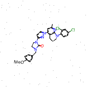 COc1ccc(CN2CCN(c3ccn(-c4cc(C)nc5c4CCCN5c4ccc(Cl)cc4Cl)n3)C2=O)cc1